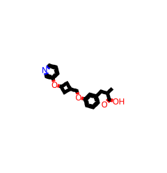 CC(Cc1cccc(OCC2CC(Oc3cccnc3)C2)c1)C(=O)O